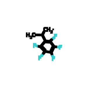 [CH2]C(C)c1c(F)c(F)c(F)c(F)c1F